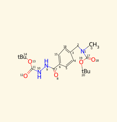 CN(Cc1ccc(C(=O)NNC(=O)OC(C)(C)C)cc1)C(=O)OC(C)(C)C